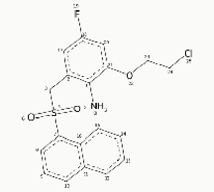 Nc1c(CS(=O)(=O)c2cccc3ccccc23)cc(F)cc1OCCCl